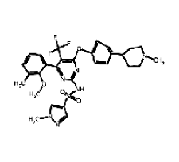 COc1c(C)cccc1-c1nc(NS(=O)(=O)c2cnn(C)c2)nc(Oc2ccc(C3CCN(C)CC3)cc2)c1C(F)(F)F